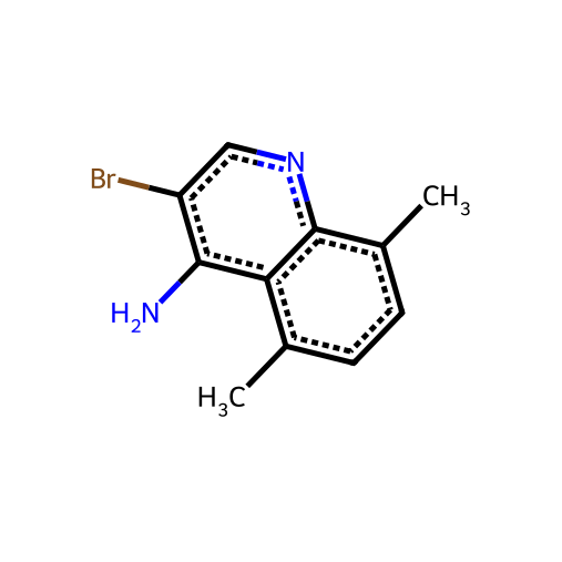 Cc1ccc(C)c2c(N)c(Br)cnc12